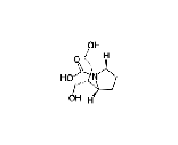 O=C(O)N1[C@@H]2CC[C@H]1[C@@H](CO)[C@H]2CO